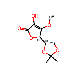 CCCCOC1=C(O)C(=O)O[C@@H]1[C@@H]1COC(C)(C)O1